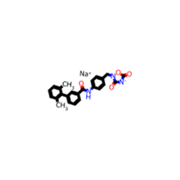 Cc1cccc(C)c1-c1cccc(C(=O)Nc2ccc(Cn3oc(=O)[n-]c3=O)cc2)c1.[Na+]